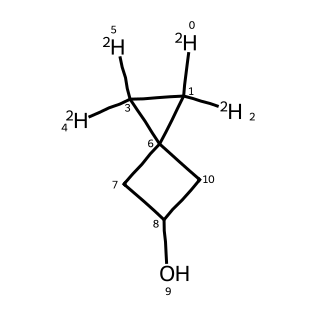 [2H]C1([2H])C([2H])([2H])C12CC(O)C2